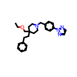 CCOCC1(CCc2ccccc2)CCN(Cc2ccc(-n3nccn3)cc2)CC1